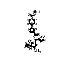 C[C@@H]1CN(c2nc(-c3cnn(C4CCN(C(=O)OC(C)(C)C)CC4)c3)cn3nccc23)C(=O)[C@]1(C#N)C1CC1